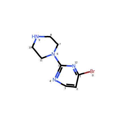 Brc1ccnc(N2CCNCC2)n1